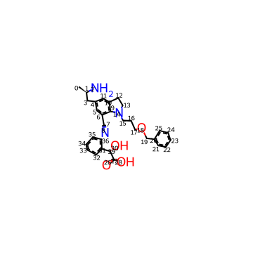 C[C@@H](N)Cc1cc(C#N)c2c(c1)CCN2CCCOCc1ccccc1.O=C(O)C(O)c1ccccc1